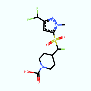 Cn1nc(C(F)F)cc1S(=O)(=O)C(F)C1CCN(C(=O)O)CC1